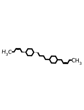 CC/C=C\CC1CCC(CCCC[C@H]2CC[C@H](C/C=C\CC)CC2)CC1